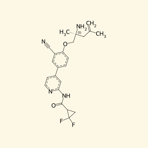 C=C(C)C[C@](C)(N)COc1ccc(-c2ccnc(NC(=O)C3CC3(F)F)c2)cc1C#N